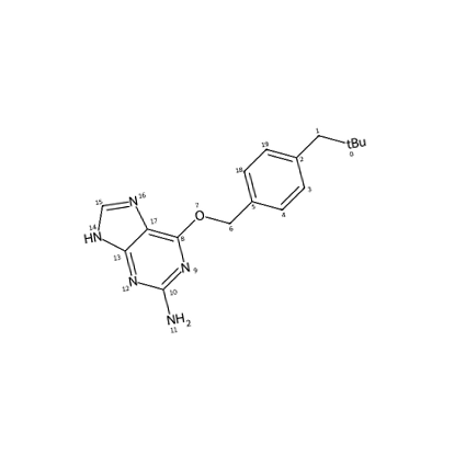 CC(C)(C)Cc1ccc(COc2nc(N)nc3[nH]cnc23)cc1